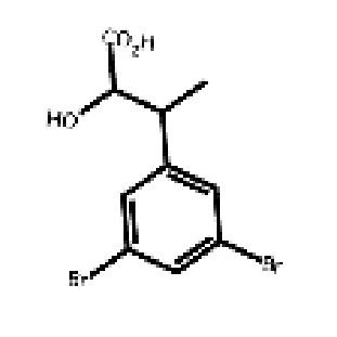 CC(c1cc(Br)cc(Br)c1)C(O)C(=O)O